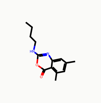 CCCCNc1nc2cc(C)cc(C)c2c(=O)o1